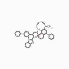 C=C1/C=C\C=C/CN(c2ccc3c(c2)c2ccc(-c4ccccc4)cc2n2c4ccccc4nc32)c2c1cc(-c1ccccc1)c1ccccc21